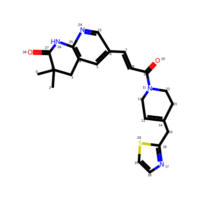 CC1(C)Cc2cc(C=CC(=O)N3CC=C(Cc4nccs4)CC3)cnc2NC1=O